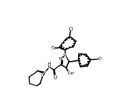 O=C(NN1CCCCC1)C1=NN(c2ccc(Cl)cc2Cl)C(c2ccc(Cl)cc2)C1O